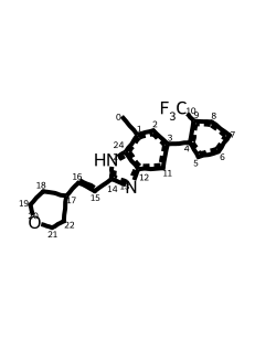 Cc1cc(-c2ccccc2C(F)(F)F)cc2nc(C=CC3CCOCC3)[nH]c12